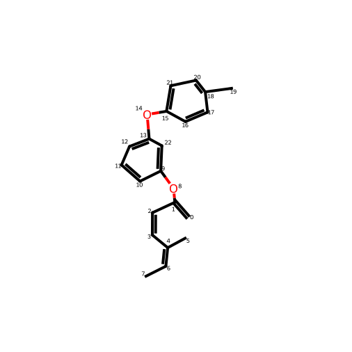 C=C(/C=C\C(C)=C/C)Oc1cccc(Oc2ccc(C)cc2)c1